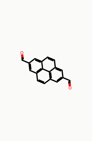 O=[C]c1cc2ccc3cc([C]=O)cc4ccc(c1)c2c34